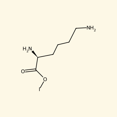 NCCCC[C@H](N)C(=O)OI